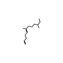 [CH2]CC(C)CCCC(C)=CCCC=C